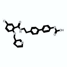 O=C(O)Oc1ccc(-c2ccc(CCNC(=O)c3cc(Cl)ccc3OCc3cccnc3)cc2)cc1